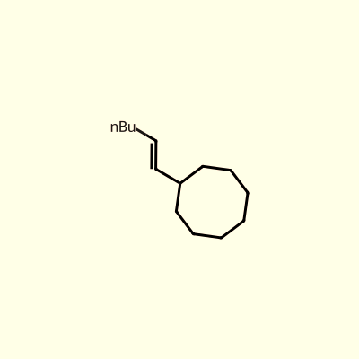 CCCCC=CC1CCCCCCC1